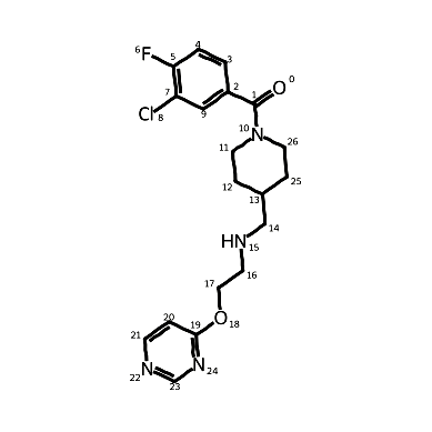 O=C(c1ccc(F)c(Cl)c1)N1CCC(CNCCOc2ccncn2)CC1